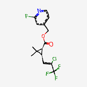 CC1(C)[C@H](C=C(Cl)C(F)(F)F)[C@@H]1C(=O)OCc1ccnc(F)c1